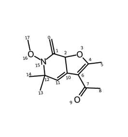 C=C1C2OC(C)=C(C(C)=O)C2=CC(C)(C)N1OC